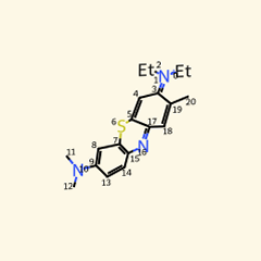 CC[N+](CC)=c1cc2sc3cc(N(C)C)ccc3nc-2cc1C